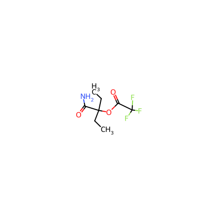 CCC(CC)(OC(=O)C(F)(F)F)C(N)=O